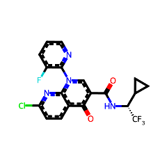 O=C(N[C@H](C1CC1)C(F)(F)F)c1cn(-c2ncccc2F)c2nc(Cl)ccc2c1=O